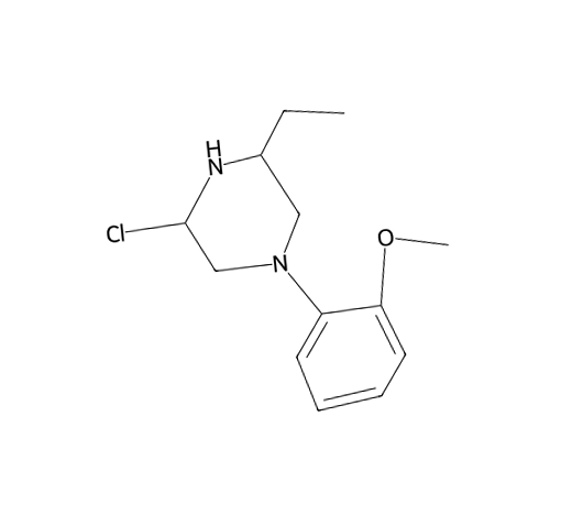 CCC1CN(c2ccccc2OC)CC(Cl)N1